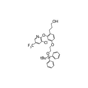 CC(C)(C)[Si](OCCOc1ccc(CCCO)c(Oc2ncc(C(F)(F)F)cc2Cl)c1)(c1ccccc1)c1ccccc1